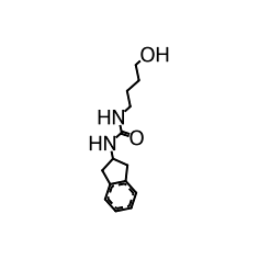 O=C(NCCCCO)NC1Cc2ccccc2C1